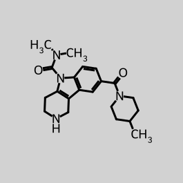 CC1CCN(C(=O)c2ccc3c(c2)c2c(n3C(=O)N(C)C)CCNC2)CC1